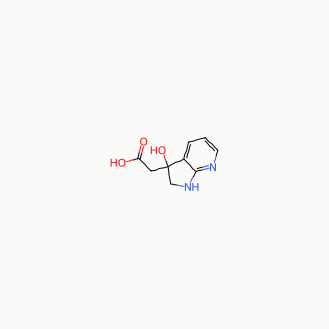 O=C(O)CC1(O)CNc2ncccc21